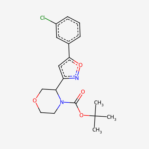 CC(C)(C)OC(=O)N1CCOCC1c1cc(-c2cccc(Cl)c2)on1